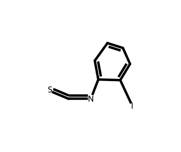 S=C=Nc1ccccc1I